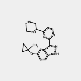 CC1(Oc2ccc3[nH]nc(-c4nccc(C5CNCCN5)n4)c3c2)CC1